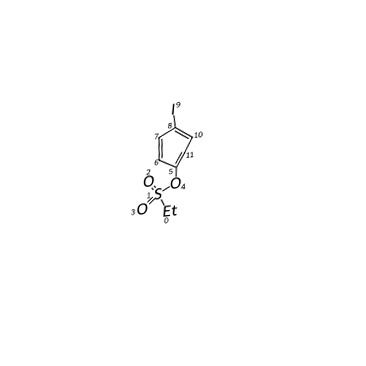 CCS(=O)(=O)Oc1ccc(I)cc1